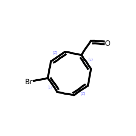 O=CC1=C/C=C\C=C(Br)/C=C\1